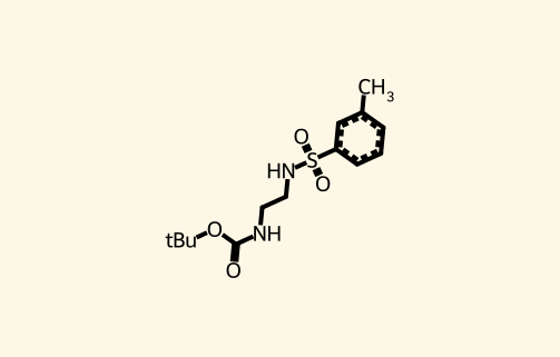 Cc1cccc(S(=O)(=O)NCCNC(=O)OC(C)(C)C)c1